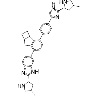 C[C@@H]1CN[C@H](c2nc(-c3ccc(-c4ccc(-c5ccc6nc([C@@H]7C[C@H](C)CN7)[nH]c6c5)c5c4C4CCC4C5)cc3)c[nH]2)C1